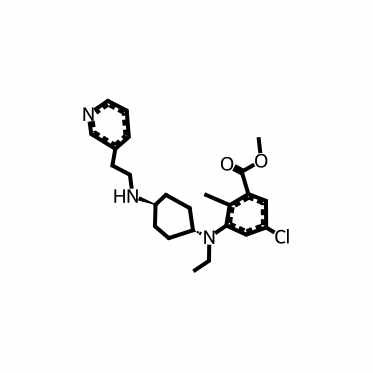 CCN(c1cc(Cl)cc(C(=O)OC)c1C)[C@H]1CC[C@H](NCCc2cccnc2)CC1